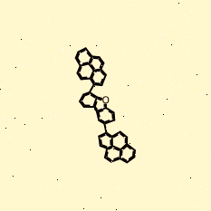 c1cc2ccc3ccc(-c4ccc5oc6c(-c7ccc8ccc9cccc%10ccc7c8c9%10)cccc6c5c4)c4ccc(c1)c2c34